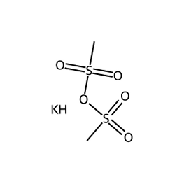 CS(=O)(=O)OS(C)(=O)=O.[KH]